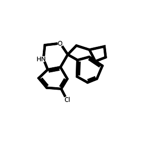 Clc1ccc2c(c1)C(CC1CCC1)(c1ccccc1)OCN2